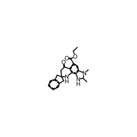 CCOC(=O)c1cc2c(c3c1C(=O)CC1(Cc4ccccc4C1)N3)NC(C)N2C